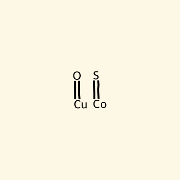 [O]=[Cu].[S]=[Co]